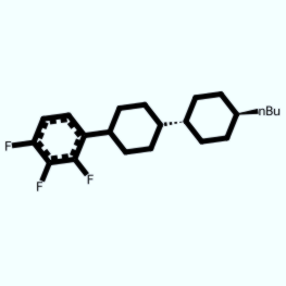 CCCC[C@H]1CC[C@H](C2CCC(c3ccc(F)c(F)c3F)CC2)CC1